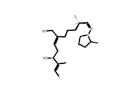 C/C(=C\I)[C@@H](O)C/C=C(/CO)CCC[C@H](C)/C=N\N1CCCC1C